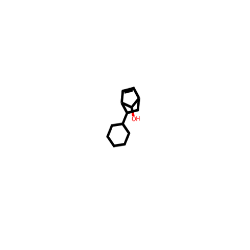 OC1C2C=CC1C(C1CCCCC1)C2